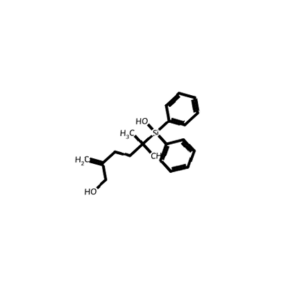 C=C(CO)CCC(C)(C)[Si](O)(c1ccccc1)c1ccccc1